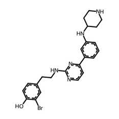 Oc1ccc(CCNc2nccc(-c3cccc(NC4CCNCC4)c3)n2)cc1Br